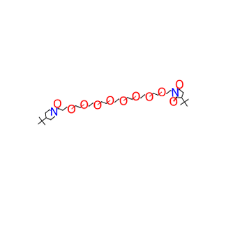 CC(C)(C)C1CCN(C(=O)CCOCCOCCOCCOCCOCCOCCOCCOCCN2C(=O)CC(C(C)(C)C)C2=O)CC1